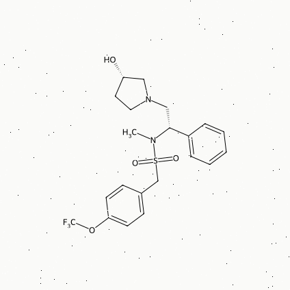 CN([C@H](CN1CC[C@H](O)C1)c1ccccc1)S(=O)(=O)Cc1ccc(OC(F)(F)F)cc1